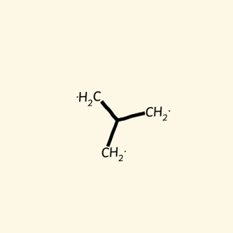 [CH2]C([CH2])[CH2]